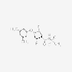 Cc1cc(C)cc(Oc2cc(F)c(C(=O)NS(C)(=O)=O)cc2F)c1